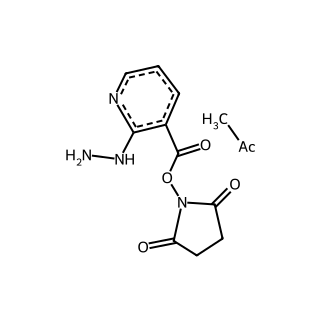 CC(C)=O.NNc1ncccc1C(=O)ON1C(=O)CCC1=O